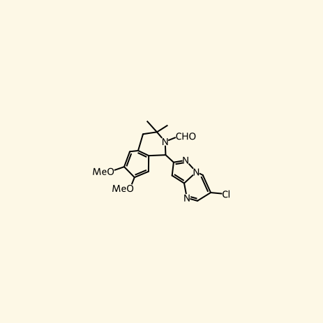 COc1cc2c(cc1OC)C(c1cc3ncc(Cl)cn3n1)N(C=O)C(C)(C)C2